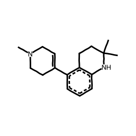 CN1CC=C(c2cccc3c2CCC(C)(C)N3)CC1